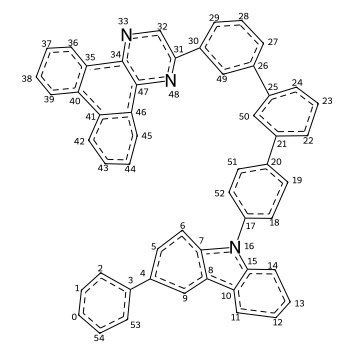 c1ccc(-c2ccc3c(c2)c2ccccc2n3-c2ccc(-c3cccc(-c4cccc(-c5cnc6c7ccccc7c7ccccc7c6n5)c4)c3)cc2)cc1